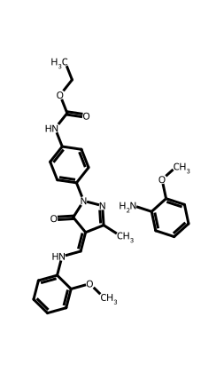 CCOC(=O)Nc1ccc(N2N=C(C)C(=CNc3ccccc3OC)C2=O)cc1.COc1ccccc1N